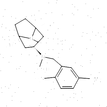 COc1ccc([N+](=O)[O-])c(CN(C(=O)O)[C@H]2C[C@H]3CC[C@@H](C2)N3C)c1